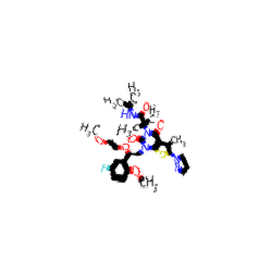 COCCO[C@@H](Cn1c(=O)n(C(C)(C)C(=O)NC(C)C)c(=O)c2c(C)c(-n3cccn3)sc21)c1cc(F)ccc1OC